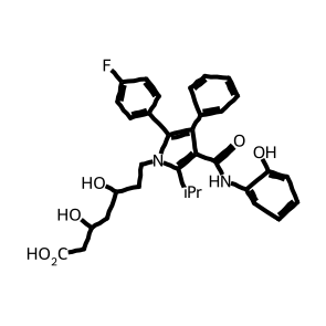 CC(C)c1c(C(=O)Nc2ccccc2O)c(-c2ccccc2)c(-c2ccc(F)cc2)n1CCC(O)CC(O)CC(=O)O